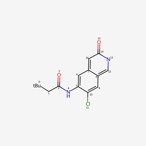 CC(C)(C)CC(=O)Nc1cc2c(cc1Cl)=C[N]C(=O)C=2